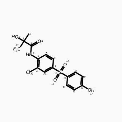 CC(O)(C(=O)Nc1ccc(S(=O)(=O)c2ccc(O)cc2)cc1Cl)C(F)(F)F